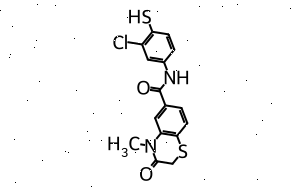 CN1C(=O)CSc2ccc(C(=O)Nc3ccc(S)c(Cl)c3)cc21